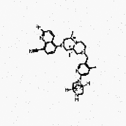 [2H]c1ccc2c(N3C[C@@H]4CN(Cc5cnc(N6C[C@@H]7C[C@H]6CN7)cc5C)CCN4[C@H](C)C3)ccc(C#N)c2n1